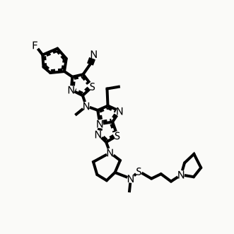 CCc1nc2sc(N3CCCC(N(C)SCCCN4CCCC4)C3)nn2c1N(C)c1nc(-c2ccc(F)cc2)c(C#N)s1